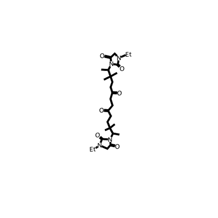 CCN1CC(=O)N(C(C)C(C)(C)CCC(=O)CCC(=O)CCC(C)(C)C(C)N2C(=O)CN(CC)C2=O)C1=O